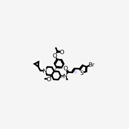 CO[C@]12CC[C@H](N(C)C(=O)/C=C/c3cc(Br)cs3)C[C@]1(c1cccc(OC(C)=O)c1)CCN(CC1CC1)C2